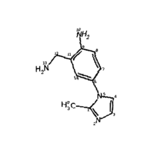 Cc1nccn1-c1ccc(N)c(CN)c1